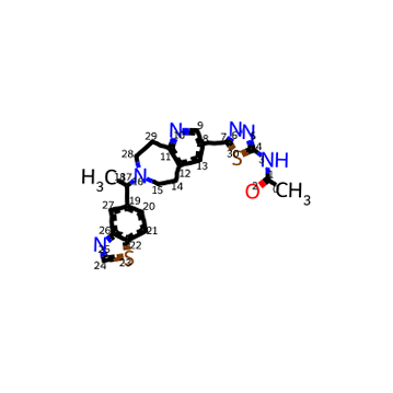 CC(=O)Nc1nnc(-c2cnc3c(c2)CCN(C(C)c2ccc4scnc4c2)CC3)s1